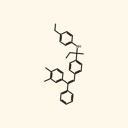 CCc1ccc(NC(C)(CC)c2ccc(C=C(c3ccccc3)c3ccc(C)c(C)c3)cc2)cc1